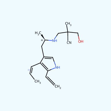 C=Cc1[nH]cc(C[C@@H](C)NCC(C)(C#N)CO)c1/C=C\C